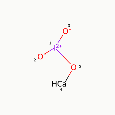 [O-][I+2]([O-])[O][CaH]